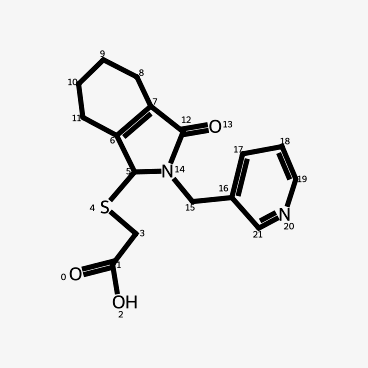 O=C(O)CSC1C2=C(CCCC2)C(=O)N1Cc1cccnc1